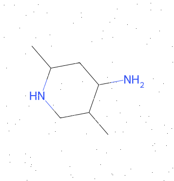 CC1CC(N)C(C)CN1